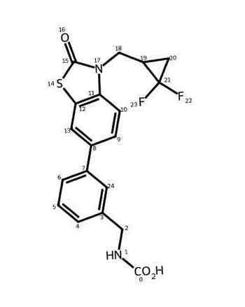 O=C(O)NCc1cccc(-c2ccc3c(c2)sc(=O)n3CC2CC2(F)F)c1